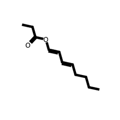 CCCCC=CC=COC(=O)CC